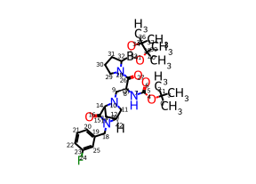 CC(C)(C)OC(=O)N[C@@H](CN1C[C@@H]2CC1C(=O)N2Cc1cccc(F)c1)C(=O)N1CCCC1B1OC(C)(C)C(C)(C)O1